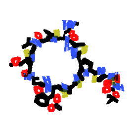 CNC(=O)C[C@@H]1NC(=O)c2csc(n2)-c2ccc(-c3nc(NS(=O)(=O)NC(=O)OC(C)(C)C)cs3)nc2-c2csc(n2)-c2csc(n2)[C@H]([C@@H](OC(C)=O)c2ccccc2)NC(=O)CNC(=O)c2nc(sc2COC)[C@H](C(C)C)NC(=O)c2nc1sc2C